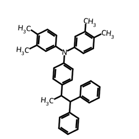 Cc1ccc(N(c2ccc(C(C)C(c3ccccc3)c3ccccc3)cc2)c2ccc(C)c(C)c2)cc1C